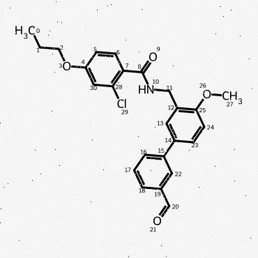 CCCOc1ccc(C(=O)NCc2cc(-c3cccc(C=O)c3)ccc2OC)c(Cl)c1